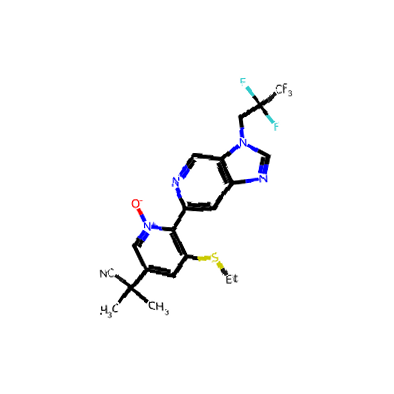 CCSc1cc(C(C)(C)C#N)c[n+]([O-])c1-c1cc2ncn(CC(F)(F)C(F)(F)F)c2cn1